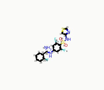 N[C@H](Nc1cc(F)c(S(=O)(=O)Nc2cscn2)c(F)c1)c1ccccc1F